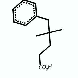 CC(C)(CCC(=O)O)Cc1ccccc1